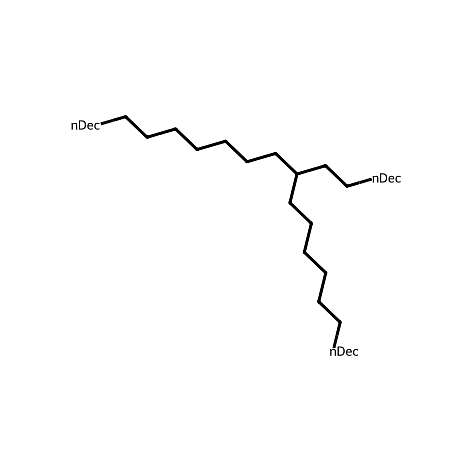 CCCCCCCCCCCCCCCCCC(CCCCCCCCCCCC)CCCCCCCCCCCCCCCC